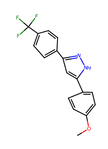 COc1ccc(-c2cc(-c3ccc(C(F)(F)F)cc3)n[nH]2)cc1